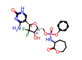 Nc1nc(=O)[nH]cc1[C@H]1O[C@H](COP(=O)(NC2CCCCOC2=O)Oc2ccccc2)[C@@H](O)C1(F)F